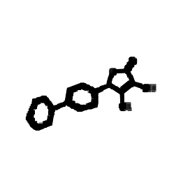 O=C1O[C@H](c2ccc(-c3ccccc3)cc2)C(O)=C1O